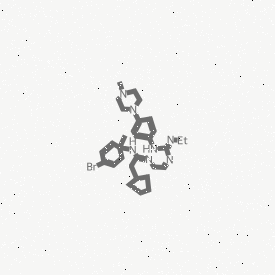 CC/N=C(\N=C/C/N=C(\CC1CCCC1)NC1(C)C=CC(Br)=CC1)Nc1ccc(N2CCN(C)CC2)cc1